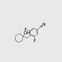 N#Cc1cc(F)c(CC2(O)CCCCC2)c(F)c1